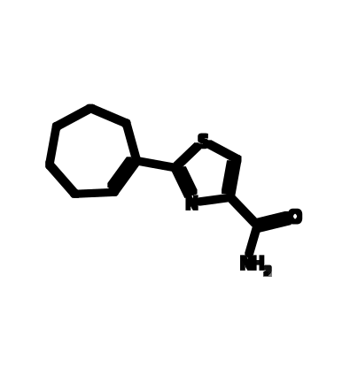 NC(=O)c1csc(C2=CCCCCC2)n1